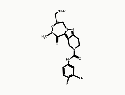 CC(=O)NC[C@H]1Cn2nc3c(c2C(=O)N(C)O1)CN(C(=O)Nc1ccc(F)c(C#N)c1)CC3